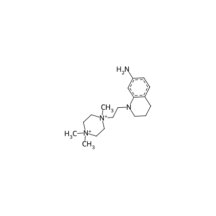 C[N+]1(C)CC[N+](C)(CCN2CCCc3ccc(N)cc32)CC1